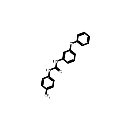 O=C(Nc1ccc(C(F)(F)F)cc1)Nc1cccc(Oc2ccccc2)c1